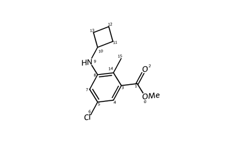 COC(=O)c1cc(Cl)cc(NC2CCC2)c1C